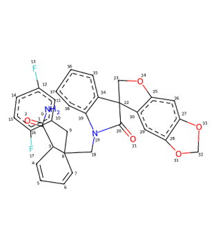 NC(=O)C1C=CC=CC1(Cc1cc(F)ccc1F)CN1C(=O)C2(COc3cc4c(cc32)OCO4)c2ccccc21